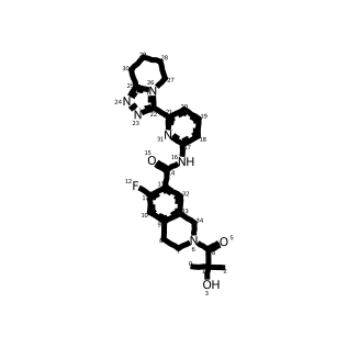 CC(C)(O)C(=O)N1CCc2cc(F)c(C(=O)Nc3cccc(-c4nnc5n4CCCC5)n3)cc2C1